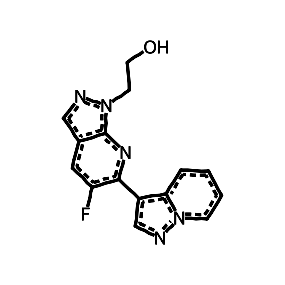 OCCn1ncc2cc(F)c(-c3cnn4ccccc34)nc21